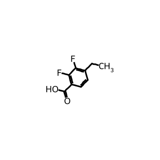 CCc1ccc(C(=O)O)c(F)c1F